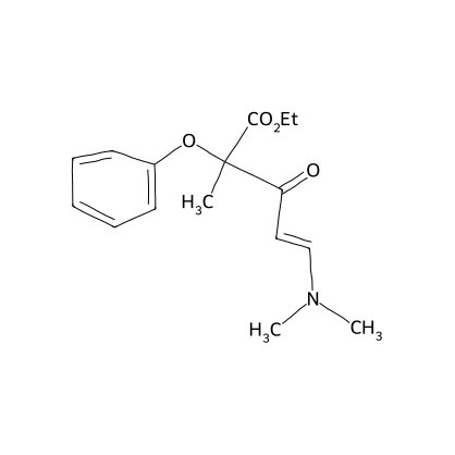 CCOC(=O)C(C)(Oc1ccccc1)C(=O)/C=C/N(C)C